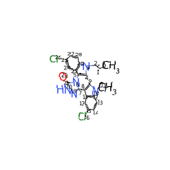 CC[CH]n1cc(-n2c(-c3cn(C)c4ccc(Cl)cc34)n[nH]c2=O)c2cc(Cl)ccc21